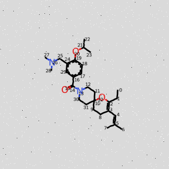 CCC1=C(C=C(C)C)CCC2(CCN(C(=O)c3ccc(OC(C)C)c(CN(C)C)c3)CC2)O1